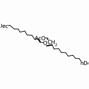 C=COC(C)=O.CCCCCCCCCCCCCCCCCCC=COC=CCCCCCCCCCCCCCCCCCC